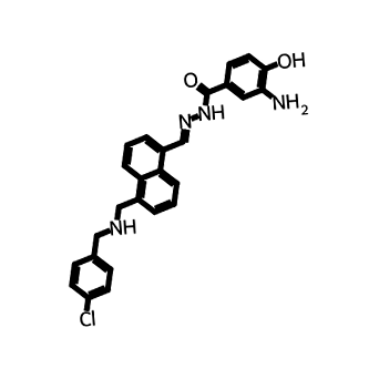 Nc1cc(C(=O)N/N=C/c2cccc3c(CNCc4ccc(Cl)cc4)cccc23)ccc1O